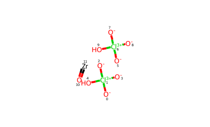 [O-][Cl+3]([O-])([O-])O.[O-][Cl+3]([O-])([O-])O.[O]=[Zr]